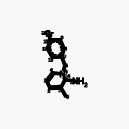 CC1=CC=CN(Cc2ccc(Br)cc2)C1N